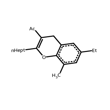 CCCCCCCC1=C(C(C)=O)Cc2cc(CC)cc(C)c2O1